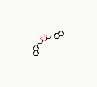 O=C(CCc1ccc2ccccc2c1)CC(=O)CCc1ccc2ccccc2c1